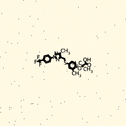 Cc1cc(SCc2nn(-c3ccc(C(F)(F)F)cc3)nc2C)ccc1OC(C)(C)C(=O)O